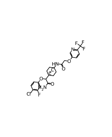 NC(=O)C(Oc1ccc(Cl)c(F)c1)C12CCC(NC(=O)COc3ccc(C(F)(F)F)nc3)(CC1)CC2